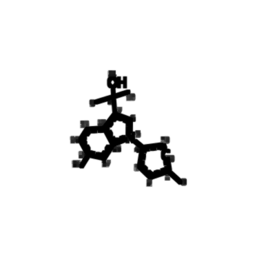 Cc1ccc(-n2cc(C(C)(C)O)c3ccc(C)cc32)cc1